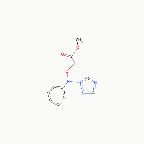 COC(=O)CON(c1ccccc1)n1cncn1